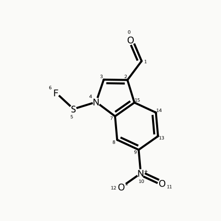 O=Cc1cn(SF)c2cc([N+](=O)[O-])ccc12